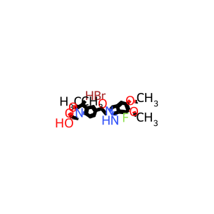 Br.CCOc1cc2c(c(F)c1OCC)C(=N)N(CC(=O)c1ccc3c(c1)C(C)(C)C(=O)N3CC(=O)O)C2